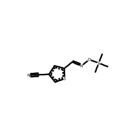 C[Si](C)(C)O/N=C/c1cc(C#N)cs1